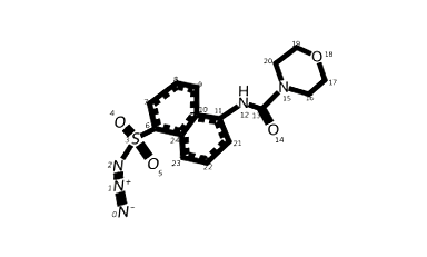 [N-]=[N+]=NS(=O)(=O)c1cccc2c(NC(=O)N3CCOCC3)cccc12